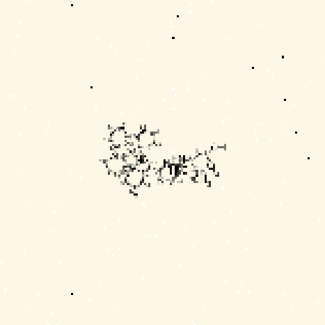 CC(C)(C)C(CC(=O)O)Nc1ccnc(-c2nn(C(c3ccccc3)(c3ccccc3)c3ccccc3)c3ncc(F)cc23)n1